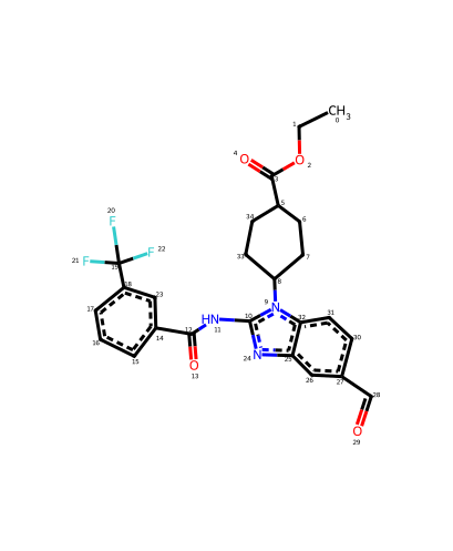 CCOC(=O)C1CCC(n2c(NC(=O)c3cccc(C(F)(F)F)c3)nc3cc(C=O)ccc32)CC1